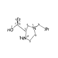 CC[C@H](O)C1CN(CC(C)C)CCN1